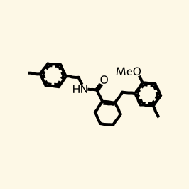 COc1ccc(C)cc1CC1=C(C(=O)NCc2ccc(C)cc2)CCCC1